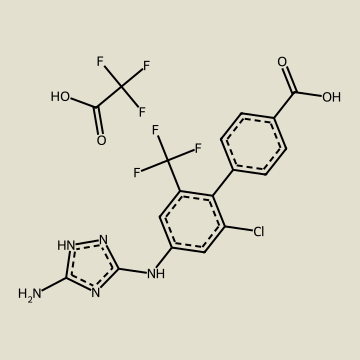 Nc1nc(Nc2cc(Cl)c(-c3ccc(C(=O)O)cc3)c(C(F)(F)F)c2)n[nH]1.O=C(O)C(F)(F)F